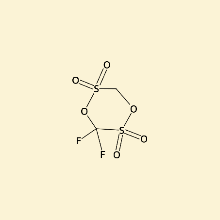 O=S1(=O)COS(=O)(=O)C(F)(F)O1